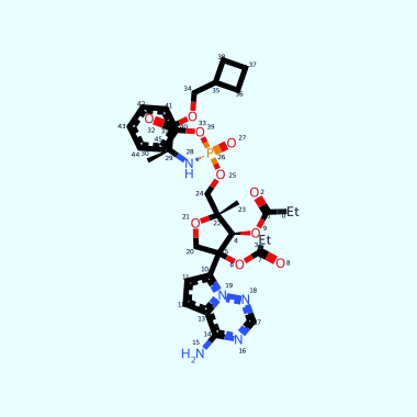 CCC(=O)O[C@H]1C(OC(=O)CC)(c2ccc3c(N)ncnn23)CO[C@]1(C)CO[P@@](=O)(N[C@@H](C)C(=O)OCC1CCC1)Oc1ccccc1